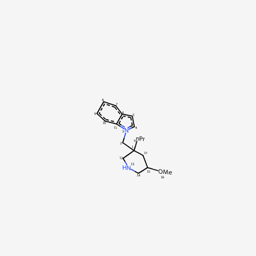 CCCC1(Cn2ccc3ccccc32)CNCC(OC)C1